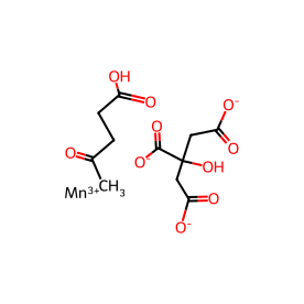 CC(=O)CCC(=O)O.O=C([O-])CC(O)(CC(=O)[O-])C(=O)[O-].[Mn+3]